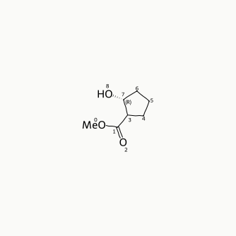 COC(=O)C1CCC[C@H]1O